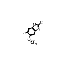 Fc1cc2oc(Cl)nc2cc1OC(F)(F)F